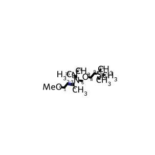 COC/C=C(\C)N(COCC[Si](C)(C)C)N(C)C